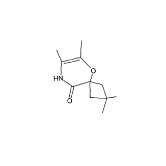 CC1=C(C)OC2(CC(C)(C)C2)C(=O)N1